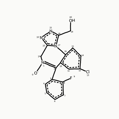 [O-][N+]1=C(c2ccccc2F)c2cc(Cl)ccc2-n2c(CO)nnc2C1